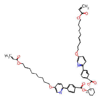 C=CC(=O)OCCCCCCCCCOc1ccc(-c2ccc(C(=O)O[C@@H]3CCCC[C@H]3OC(=O)c3ccc(-c4ccc(OCCCCCCCCCOC(=O)C=C)cn4)cc3)cc2)nc1